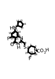 O=C(O)N1CC[C@@H](SCc2nc3cc(NC4CCCC4)cc(F)c3c(=O)[nH]2)C[C@@H](F)C1